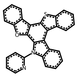 c1ccc(-n2c3ccccc3c3c4c5ccccc5sc4c4c5ccccc5oc4c32)nc1